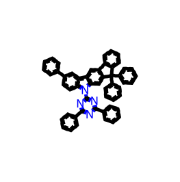 c1ccc(-c2ccc3c(c2)c2cc4c(cc2n3-c2nc(-c3ccccc3)nc(-c3ccccc3)n2)C(c2ccccc2)(c2ccccc2)c2ccccc2-4)cc1